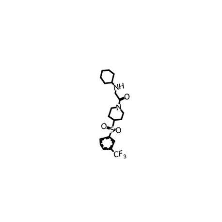 O=C(CNC1CCCCC1)N1CCC(S(=O)(=O)c2cccc(C(F)(F)F)c2)CC1